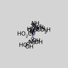 CC(C)(O/N=C(\C(=O)NC1C(=O)N2C(C(=O)O)=C(/C=C/c3ccc(C[n+]4ccc5cc(O)c(O)cc5c4Cc4ccc(O)c(O)c4)cc3)CSC12)c1csc(N)n1)C(=O)O